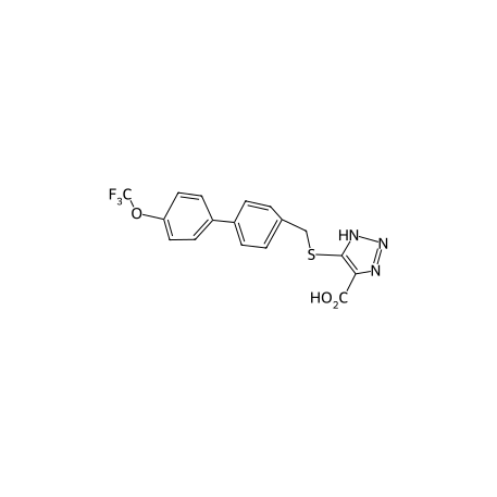 O=C(O)c1nn[nH]c1SCc1ccc(-c2ccc(OC(F)(F)F)cc2)cc1